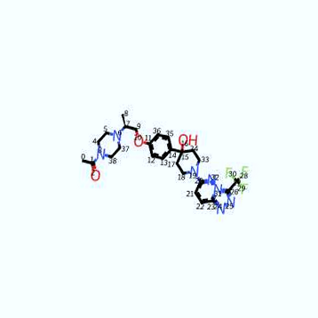 CC(=O)N1CCN([C@@H](C)COc2ccc(C3(O)CCN(c4ccc5nnc(C(F)(F)F)n5n4)CC3)cc2)CC1